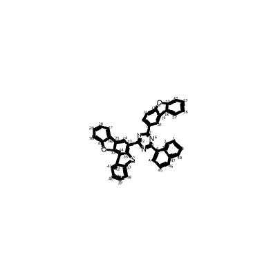 c1ccc2c(-c3nc(-c4ccc5oc6ccccc6c5c4)nc(-c4cc5c6ccccc6oc5c5c4sc4ccccc45)n3)cccc2c1